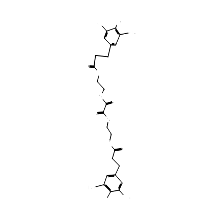 CC(C)(C)c1cc(CCC(=O)OCCNC(=O)C(=S)NCCOC(=O)CCc2cc(C(C)(C)C)c(O)c(C(C)(C)C)c2)cc(C(C)(C)C)c1O